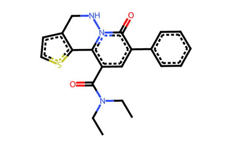 CCN(CC)C(=O)c1cc(-c2ccccc2)c(=O)n2c1-c1sccc1CN2